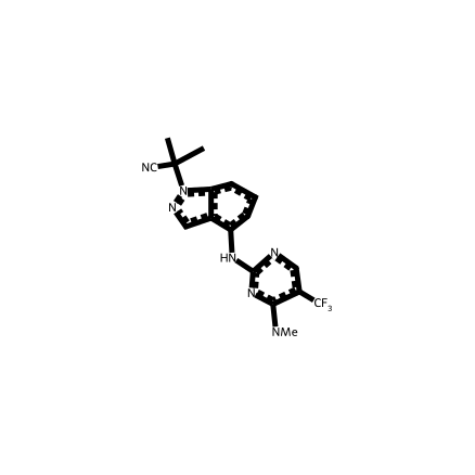 CNc1nc(Nc2cccc3c2cnn3C(C)(C)C#N)ncc1C(F)(F)F